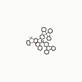 CC1(C)c2ccccc2-c2ccc(-c3cc4c(cc3N(c3ccc5c6ccccc6c6ccccc6c5c3)c3cccc5ccccc35)C3(c5ccccc5-c5ccccc53)c3ccccc3-4)cc21